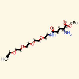 C#CCOCCOCCOCCOCCNC(=O)CC[C@H](N)C(=O)OC(C)(C)C